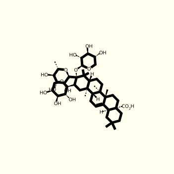 C[C@@H]1O[C@@H]([C@]2(O[C@@H]3OC[C@@H](O)[C@H](O)[C@H]3O)C([C@@H]3OC[C@H](O)[C@H](O)[C@H]3O)C[C@]3(C)[C@H]4CC=C5[C@@H]6CC(C)(C)CC[C@]6(C(=O)O)CC[C@@]5(C)[C@]4(C)CC[C@H]3C2(C)C)[C@H](O)[C@H](O)[C@H]1O